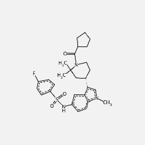 Cn1cc([C@H]2CCN(C(=O)C3CCCC3)C(C)(C)C2)c2cc(NS(=O)(=O)c3ccc(F)cc3)ccc21